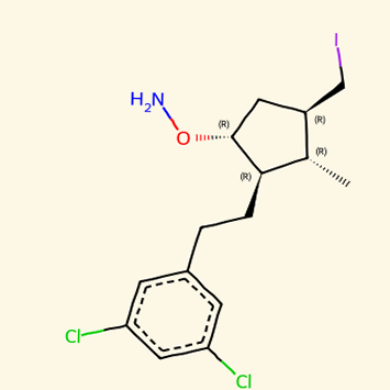 C[C@H]1[C@H](CI)C[C@@H](ON)[C@@H]1CCc1cc(Cl)cc(Cl)c1